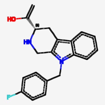 C=C(O)[C@@H]1Cc2c(n(Cc3ccc(F)cc3)c3ccccc23)CN1